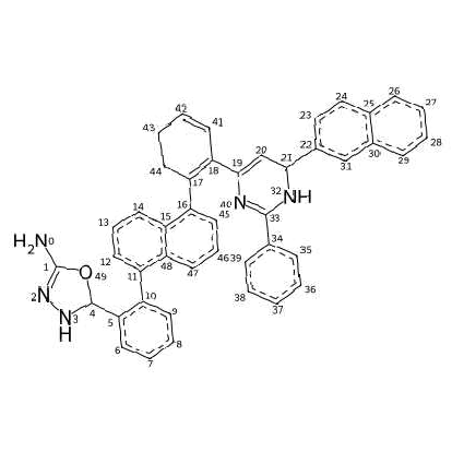 NC1=NNC(c2ccccc2-c2cccc3c(C4=C(C5=CC(c6ccc7ccccc7c6)NC(c6ccccc6)=N5)C=CCC4)cccc23)O1